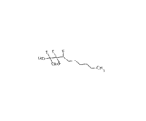 CCCCCCC(F)C(F)(F)C(O)(O)F